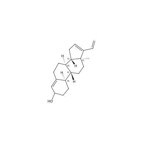 C=CC1=CC[C@H]2[C@@H]3CCC4=CC(O)CC[C@@H]4[C@H]3CC[C@]12C